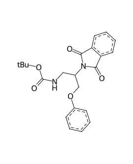 CC(C)(C)OC(=O)NCC(COc1ccccc1)N1C(=O)c2ccccc2C1=O